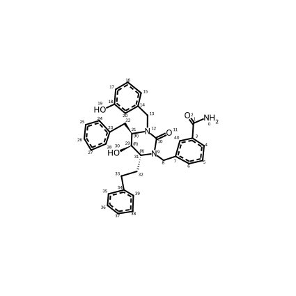 NC(=O)c1cccc(CN2C(=O)N(Cc3cccc(O)c3)[C@H](Cc3ccccc3)[C@H](O)[C@H]2CCc2ccccc2)c1